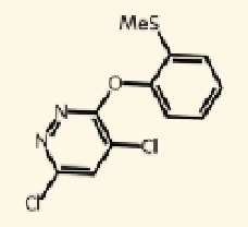 CSc1ccccc1Oc1nnc(Cl)cc1Cl